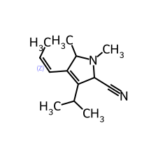 C/C=C\C1=C(C(C)C)C(C#N)N(C)C1C